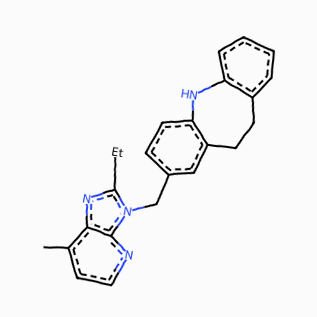 CCc1nc2c(C)ccnc2n1Cc1ccc2c(c1)CCc1ccccc1N2